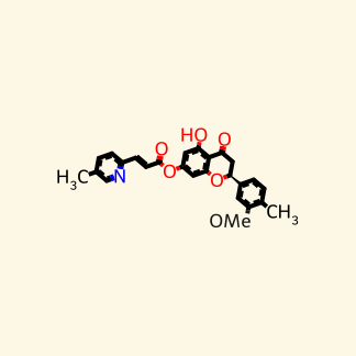 COc1cc([C@@H]2CC(=O)c3c(O)cc(OC(=O)/C=C/c4ccc(C)cn4)cc3O2)ccc1C